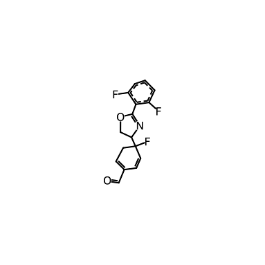 O=CC1=CCC(F)(C2COC(c3c(F)cccc3F)=N2)C=C1